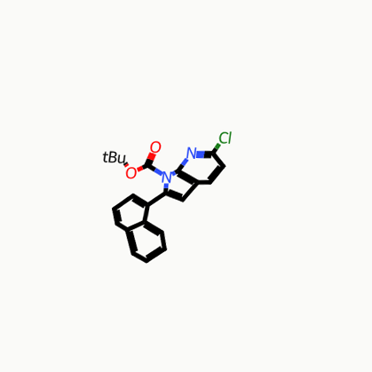 CC(C)(C)OC(=O)n1c(-c2cccc3ccccc23)cc2ccc(Cl)nc21